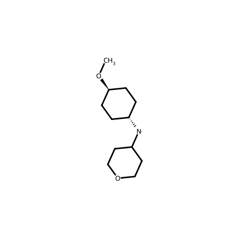 CO[C@H]1CC[C@H]([N]C2CCOCC2)CC1